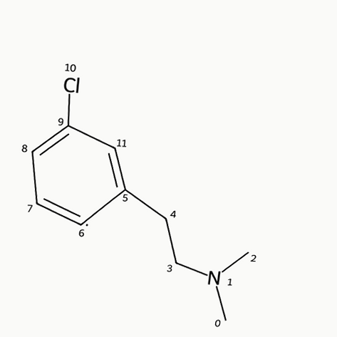 CN(C)CCc1[c]ccc(Cl)c1